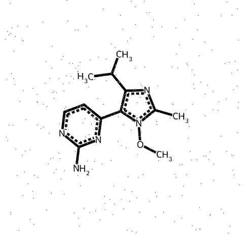 COn1c(C)nc(C(C)C)c1-c1ccnc(N)n1